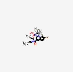 CCCN(CCC)C(=O)C1=Cc2ccc(Br)cc2N=C(N(C(=O)O)C(C)(C)C)C1